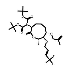 C=C(C)CO[C@H]1CCC[C@H](N(C(=O)OC(C)(C)C)C(=O)OC(C)(C)C)C(=O)O[C@@H](C)[C@@H]1OC/C=C/C(F)(F)F